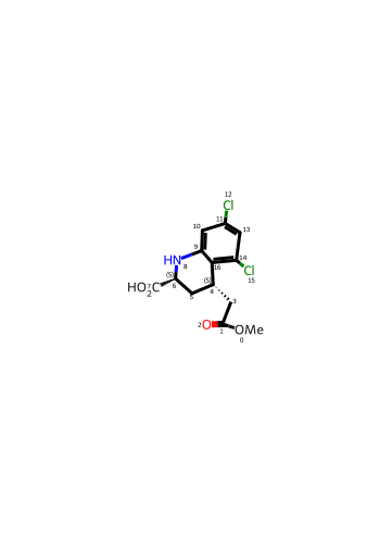 COC(=O)C[C@@H]1C[C@@H](C(=O)O)Nc2cc(Cl)cc(Cl)c21